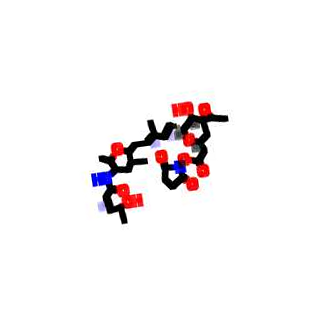 CC(/C=C/[C@H]1O[C@H](CC(=O)ON2C(=O)CCC2=O)CC2(OC2C)[C@@H]1O)=C\CC1OC(C)C(NC(=O)/C=C\C(C)O)CC1C